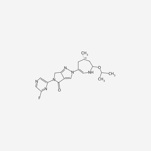 CC(C)OC1C[C@@H](C)CC(n2cc3c(n2)CN(c2cncc(F)n2)C3=O)=CN1